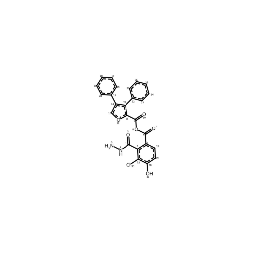 NNC(=O)c1c(C(=O)OC(=O)c2occ(-c3ccccc3)c2-c2ccccc2)ccc(O)c1Cl